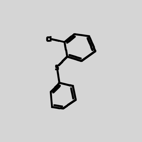 Clc1ccccc1Sc1ccccc1